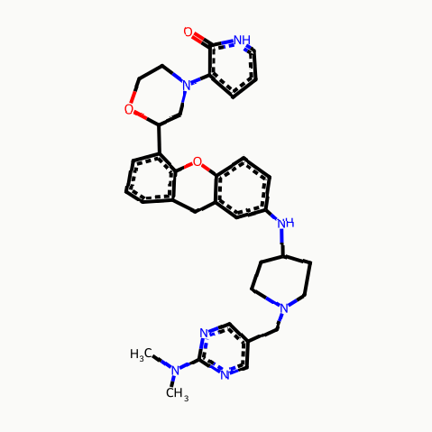 CN(C)c1ncc(CN2CCC(Nc3ccc4c(c3)Cc3cccc(C5CN(c6ccc[nH]c6=O)CCO5)c3O4)CC2)cn1